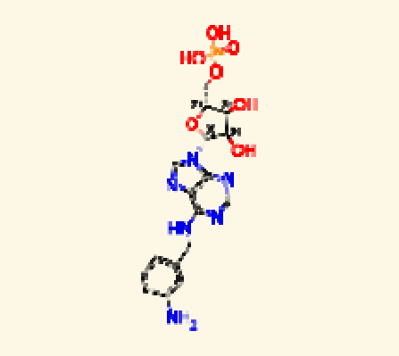 Nc1cccc(CNc2ncnc3c2ncn3[C@@H]2O[C@H](COP(=O)(O)O)[C@@H](O)[C@H]2O)c1